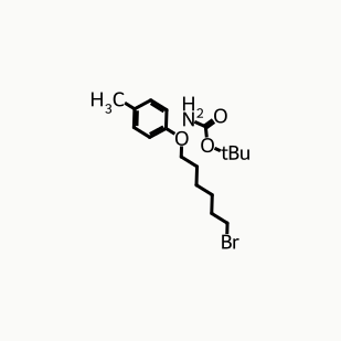 CC(C)(C)OC(N)=O.Cc1ccc(OCCCCCCBr)cc1